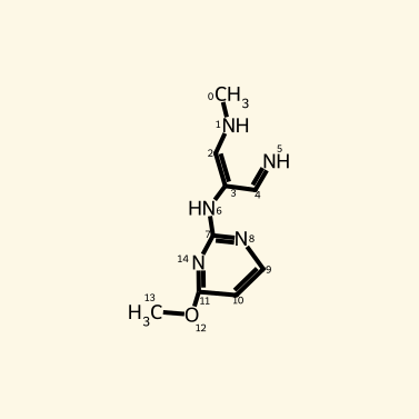 CN/C=C(\C=N)Nc1nccc(OC)n1